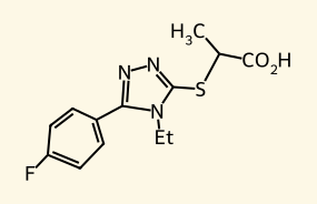 CCn1c(SC(C)C(=O)O)nnc1-c1ccc(F)cc1